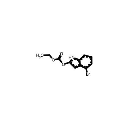 CCOC(=O)Oc1cc2c(Br)cccc2[nH]1